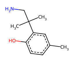 Cc1ccc(O)c(C(C)(C)CN)c1